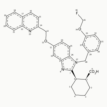 O=C(O)[C@H]1CCCC[C@H]1c1nc2cc(OCc3ccc4ccccc4n3)ccc2n1Cc1cccc(OCF)c1